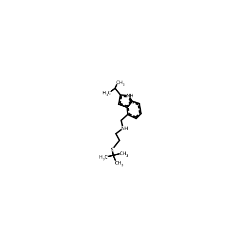 CC(C)c1cc2c(CNCCSC(C)(C)C)cccc2[nH]1